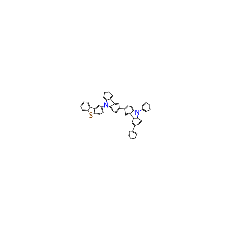 C1=CC(c2ccc3c(c2)c2cc(-c4ccc5c(c4)c4ccccc4n5-c4ccc5sc6ccccc6c5c4)ccc2n3-c2ccccc2)=CCC1